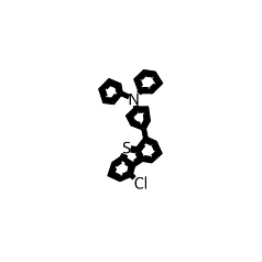 Clc1cccc2sc3c(-c4ccc(N(c5ccccc5)c5ccccc5)cc4)cccc3c12